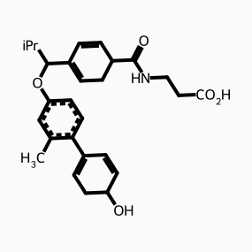 Cc1cc(OC(C2=CCC(C(=O)NCCC(=O)O)C=C2)C(C)C)ccc1C1=CCC(O)C=C1